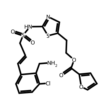 NCc1c(Cl)cccc1C=CCS(=O)(=O)Nc1ncc(CCOC(=O)c2ccco2)s1